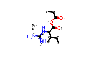 CCC(=O)OC(=O)C(NC(=N)N)C(C)CC.[Fe]